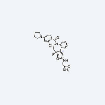 NC(=O)CNC(=O)/C=C1/c2ccccc2N(C(=O)c2ccc(N3CCCC3)cc2Cl)CCC1(F)F